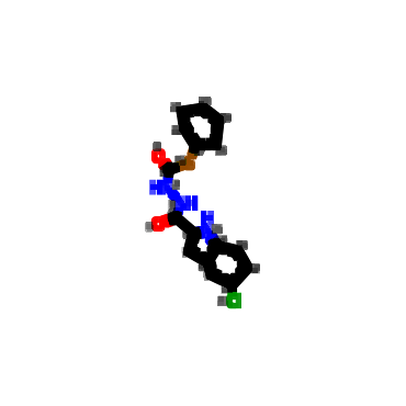 O=C(NNC(=O)c1cc2cc(Cl)ccc2[nH]1)Sc1ccccc1